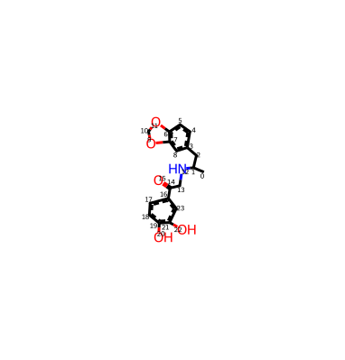 CC(Cc1ccc2c(c1)OCO2)NCC(=O)c1ccc(O)c(O)c1